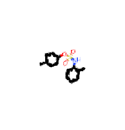 Cc1ccc(OS(=O)(=O)Nc2ccccc2C)cc1